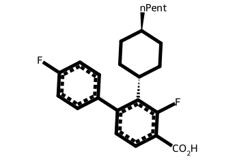 CCCCC[C@H]1CC[C@H](c2c(-c3ccc(F)cc3)ccc(C(=O)O)c2F)CC1